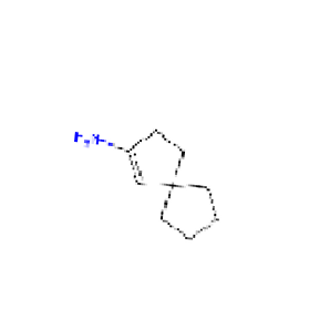 NC1=CC2(CCCC2)CC1